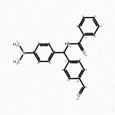 CN(C)c1ccc(C(NC(=O)c2ccccc2)c2ccc(C=O)cc2)cc1